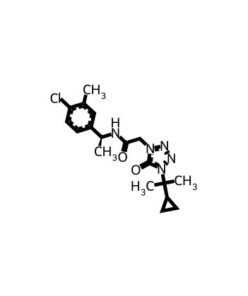 Cc1cc([C@H](C)NC(=O)Cn2nnn(C(C)(C)C3CC3)c2=O)ccc1Cl